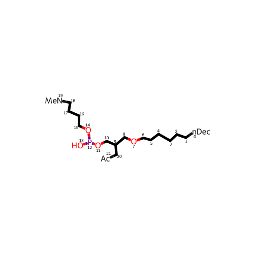 CCCCCCCCCCCCCCCCOCC(COP(O)OCCCCNC)CC(C)=O